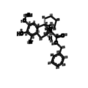 CCCCOc1cc2c(c(Br)c1O)C[C@H]1[C@H]3CCCC[C@@]23CCN1C(=O)OCc1ccccc1